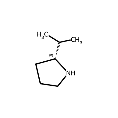 CC(C)[C@H]1CCCN1